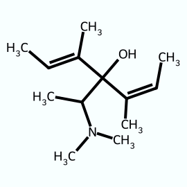 CC=C(C)C(O)(C(C)=CC)C(C)N(C)C